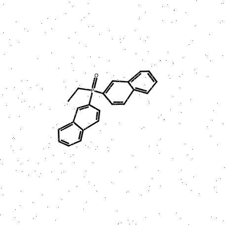 C[CH]P(=O)(c1ccc2ccccc2c1)c1ccc2ccccc2c1